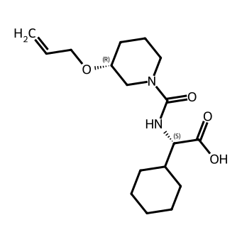 C=CCO[C@@H]1CCCN(C(=O)N[C@H](C(=O)O)C2CCCCC2)C1